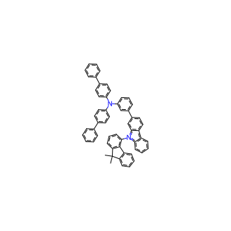 CC1(C)c2ccccc2-c2c(-n3c4ccccc4c4ccc(-c5cccc(N(c6ccc(-c7ccccc7)cc6)c6ccc(-c7ccccc7)cc6)c5)cc43)cccc21